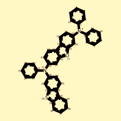 c1ccc(N(c2ccccc2)c2ccc3c(c2)oc2cc(N(c4ccccc4)c4ccc5c(c4)sc4ccccc45)ccc23)cc1